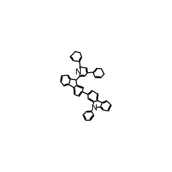 C1=CC(c2cc(C3=CCCC=C3)nc(C3c4ccccc4-c4ccc(-c5ccc6c7ccccc7n(-c7ccccc7)c6c5)cc43)c2)=CCC1